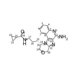 Nc1nc2ccccc2c2c1nc1n2[C@@H](CCCNC(=O)C2CC2)COC1